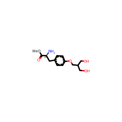 COC(=O)[C@@H](N)Cc1ccc(OCC(CO)CO)cc1